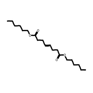 CCCCCCOC(=O)CCC=CCCC(=O)OCCCCCC